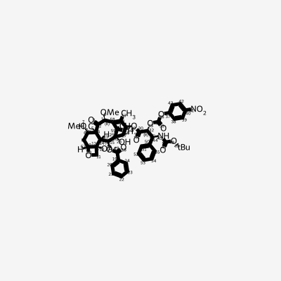 CO[C@H]1C(=O)[C@]2(C)[C@@H](OC)C[C@H]3OC[C@@]3(OC(C)=O)[C@H]2[C@H](OC(=O)c2ccccc2)[C@]2(O)C[C@H](OC(=O)[C@H](OC(=O)Oc3ccc([N+](=O)[O-])cc3)[C@@H](NC(=O)OC(C)(C)C)c3ccccc3)C(C)=C1C2(C)C